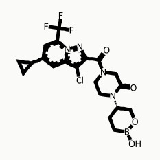 O=C(c1nn2c(C(F)(F)F)cc(C3CC3)cc2c1Cl)N1CCN([C@H]2CCB(O)OC2)C(=O)C1